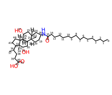 CCCCCCCCCCCCCCCC(=O)N[C@H]1CC[C@@]2(C)[C@@H](C1)C[C@@H](O)[C@@H]1[C@@H]2C[C@H](O)[C@]2(C)[C@@H]([C@H](C)CCC(=O)O)CC[C@@H]12